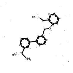 CCC[C@@H](N)c1cccc(-c2cccc(COc3ccccc3CC(=O)O)c2)c1